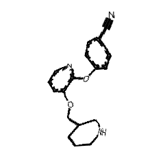 N#Cc1ccc(Oc2ncccc2OCC2CCCNC2)cc1